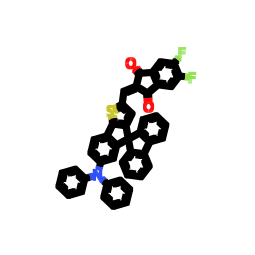 O=C1C(=Cc2cc3c(s2)-c2ccc(N(c4ccccc4)c4ccccc4)cc2C32c3ccccc3-c3ccccc32)C(=O)c2cc(F)c(F)cc21